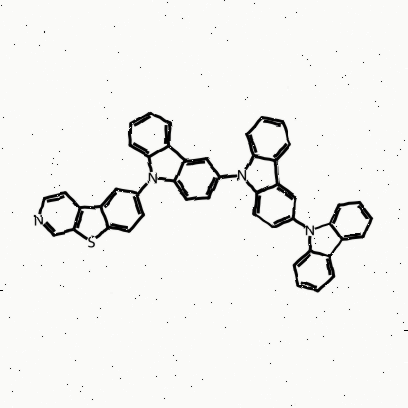 c1ccc2c(c1)c1ccccc1n2-c1ccc2c(c1)c1ccccc1n2-c1ccc2c(c1)c1ccccc1n2-c1ccc2sc3cnccc3c2c1